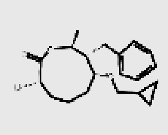 C[C@@H]1OC(=O)[C@@H](N)CCC[C@H](OCC2CC2)[C@H]1Cc1ccccc1